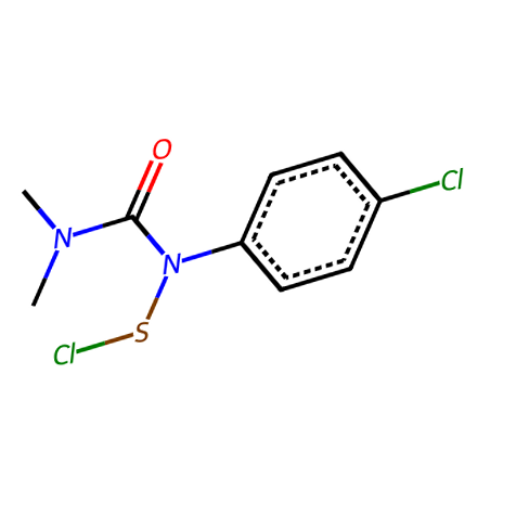 CN(C)C(=O)N(SCl)c1ccc(Cl)cc1